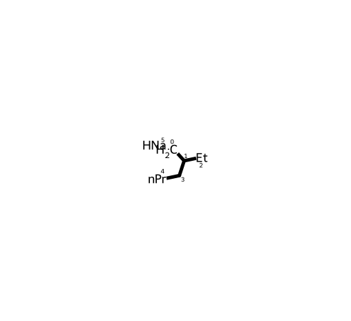 [CH2]C(CC)CCCC.[NaH]